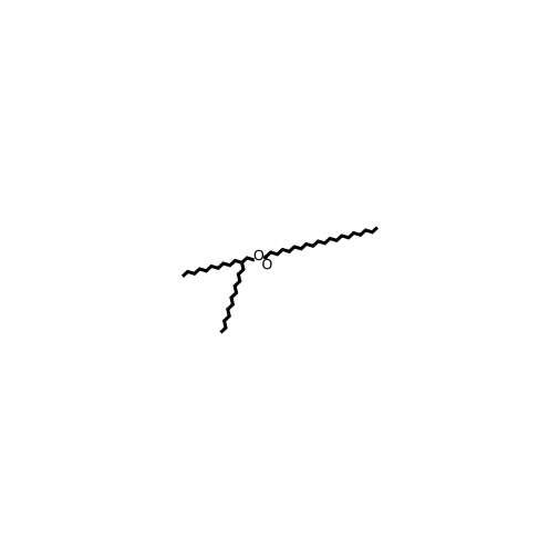 CCCCCCCCCCCCCCCCCCCC(=O)OCCC(CCCCCCCCCC)CCCCCCCCCCCC